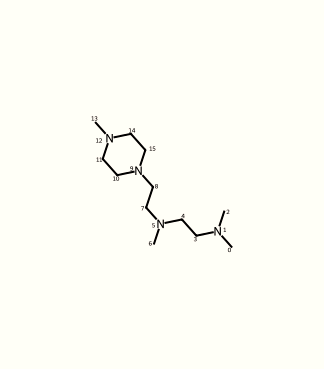 CN(C)CCN(C)CCN1CCN(C)CC1